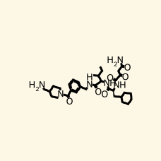 CCC(C)C(NC(=O)[C@H](CC1CCCCC1)NC(=O)C(=O)CC(N)=O)C(=O)NCc1cccc(C(=O)N2CCC(CN)CC2)c1